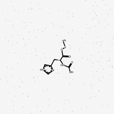 CCCSOC(=O)[C@H](Cc1c[nH]cn1)NC(=O)CCC